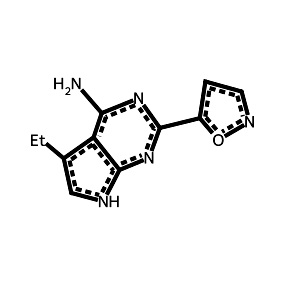 CCc1c[nH]c2nc(-c3ccno3)nc(N)c12